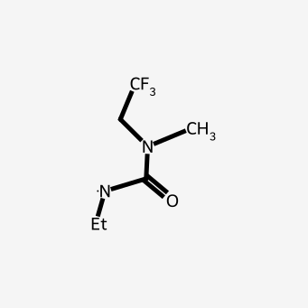 CC[N]C(=O)N(C)CC(F)(F)F